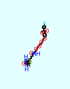 O=C(CCCC[C@@H]1SC[C@@H]2NC(=O)N[C@@H]21)NCCOCCOCCOCCOc1ccc2c(c1)OCC(c1ccc(F)cc1)C2=O